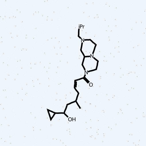 CC(C)CN1CCN2CCN(C(=O)/C=C\CC(C)CC(O)C3CC3)CC2C1